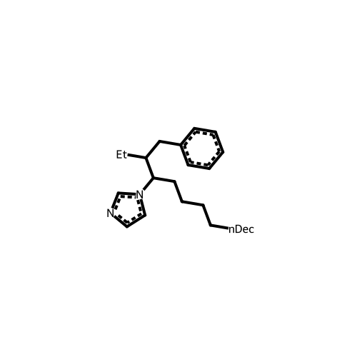 CCCCCCCCCCCCCCC(C(CC)Cc1ccccc1)n1ccnc1